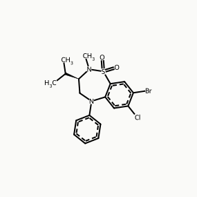 CC(C)[C@@H]1CN(c2ccccc2)c2cc(Cl)c(Br)cc2S(=O)(=O)N1C